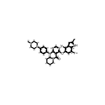 Cc1cc2c(F)c(Oc3ncnc(Nc4ccc(N5CCN(C)CC5)cc4)c3C(=O)N3CCCCC3)cc(F)c2[nH]1